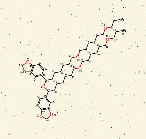 CC(C)CCOCCCCCCOCCCCCCC(OC(CCCCCCOCCCCCCOCCC(C)C)c1ccc2c(c1)OCO2)c1ccc2c(c1)OCO2